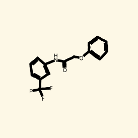 O=C(COc1cc[c]cc1)Nc1cccc(C(F)(F)F)c1